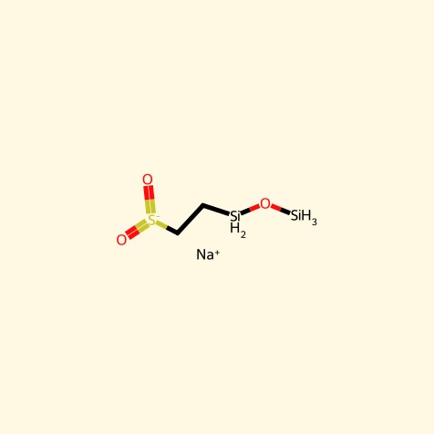 O=[S-](=O)CC[SiH2]O[SiH3].[Na+]